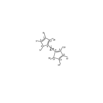 CC1=C(C)C(C)[C]([Zn][C]2=C(C)C(C)=C(C)C2C)=C1C